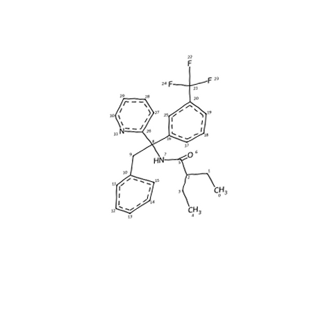 CCC(CC)C(=O)NC(Cc1ccccc1)(c1cccc(C(F)(F)F)c1)c1ccccn1